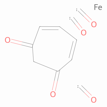 O=C1C=CC=CC(=O)C1.[C]=O.[C]=O.[C]=O.[Fe]